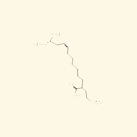 CCCCCC[C@@H](O)C/C=C\CCCCCCC(CCOC)C(=O)OC(C)=O